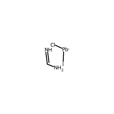 N=CN.[Cl][Pb][I]